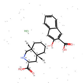 Cl.O=C(O)c1cc2ccccc2cc1O[C@H]1CC[C@H]2CN[C@H](C(=O)O)C[C@H]2C1